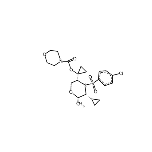 C[C@@H]1OC[C@H](C2(OC(=O)N3CCOCC3)CC2)N(S(=O)(=O)c2ccc(Cl)cc2)[C@@H]1C1CC1